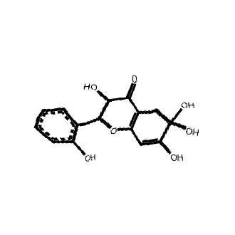 O=C1C2=C(C=C(O)C(O)(O)C2)OC(c2ccccc2O)C1O